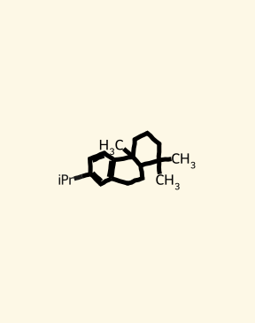 CC(C)c1ccc2c(c1)CCC1C(C)(C)CCCC21C